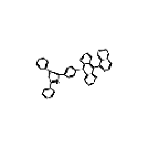 c1ccc(-c2cc(-c3ccccc3)nc(-c3ccc(-c4c5ccccc5c(-c5cccc6ccccc56)c5ccccc45)cc3)c2)cc1